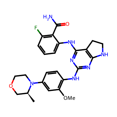 COc1cc(N2CCOC[C@@H]2C)ccc1Nc1nc2c(c(Nc3cccc(F)c3C(N)=O)n1)CCN2